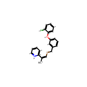 N#CC(=CSCc1cccc(Oc2ccccc2F)c1)c1ccccn1